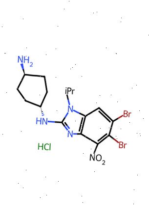 CC(C)n1c(N[C@H]2CC[C@H](N)CC2)nc2c([N+](=O)[O-])c(Br)c(Br)cc21.Cl